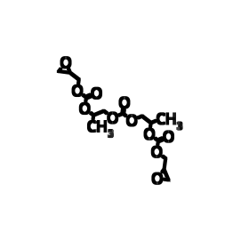 CC(COC(=O)OCC(C)OC(=O)OCC1CO1)OC(=O)OCC1CO1